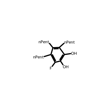 CCCCCc1c(O)c(O)c(F)c(CCCCC)c1CCCCC